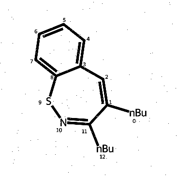 CCCCC1=Cc2ccccc2SN=C1CCCC